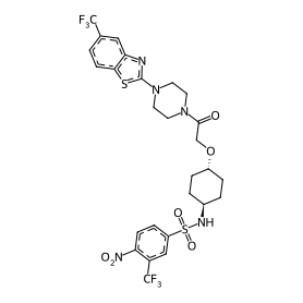 O=C(CO[C@H]1CC[C@H](NS(=O)(=O)c2ccc([N+](=O)[O-])c(C(F)(F)F)c2)CC1)N1CCN(c2nc3cc(C(F)(F)F)ccc3s2)CC1